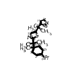 CC(C)C1=CCC(C)(C(C)(C)c2ncc(C(C)(C)c3ccno3)s2)C=C1